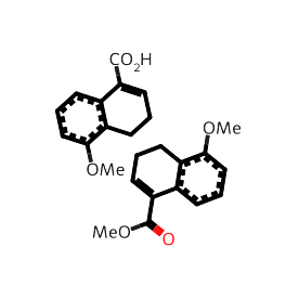 COC(=O)C1=CCCc2c(OC)cccc21.COc1cccc2c1CCC=C2C(=O)O